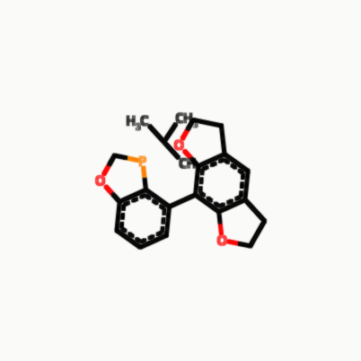 CC(C)(C)[P@]1COc2cccc(-c3c4c(cc5c3OCC5)CCO4)c21